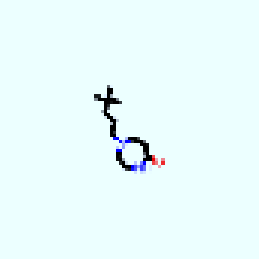 CC(C)(C)CCCN1CCNC(=O)CC1